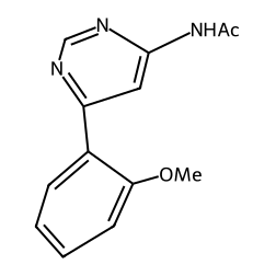 COc1ccccc1-c1cc(NC(C)=O)ncn1